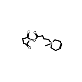 C[Si]1(CCCC(=O)ON2C(=O)CCC2=O)CCC=CCC1